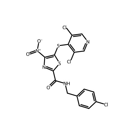 O=C(NCc1ccc(Cl)cc1)c1nc([N+](=O)[O-])c(Sc2c(Cl)cncc2Cl)s1